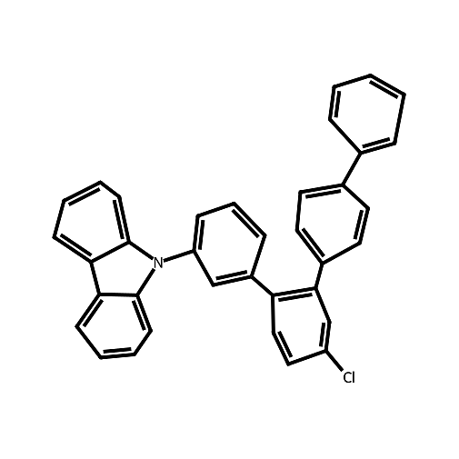 Clc1ccc(-c2cccc(-n3c4ccccc4c4ccccc43)c2)c(-c2ccc(-c3ccccc3)cc2)c1